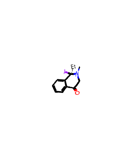 CC[C@@]1(I)c2ccccc2C(=O)CN1C